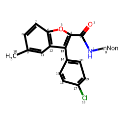 CCCCCCCCCNC(=O)c1oc2ccc(C)cc2c1-c1ccc(Cl)cc1